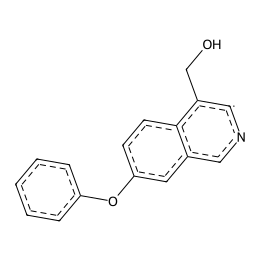 OCc1[c]ncc2cc(Oc3ccccc3)ccc12